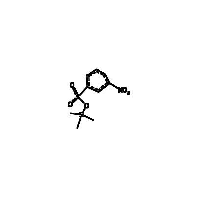 C[Si](C)(C)OS(=O)(=O)c1cccc([N+](=O)[O-])c1